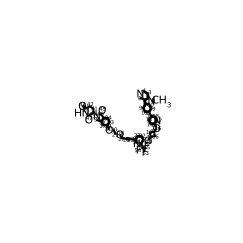 Cn1c2ccncc2c2ccc(-c3ccc(OC4CC(Oc5ccc(C#CCOCCOc6ccc7c(c6)CN(C6CCC(=O)NC6=O)C7=O)nc5C(F)(F)F)C4)nc3)cc21